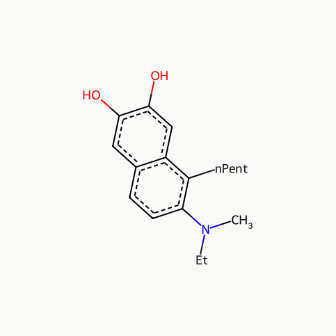 CCCCCc1c(N(C)CC)ccc2cc(O)c(O)cc12